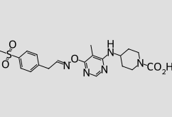 Cc1c(NC2CCN(C(=O)O)CC2)ncnc1ON=CCc1ccc(S(C)(=O)=O)cc1